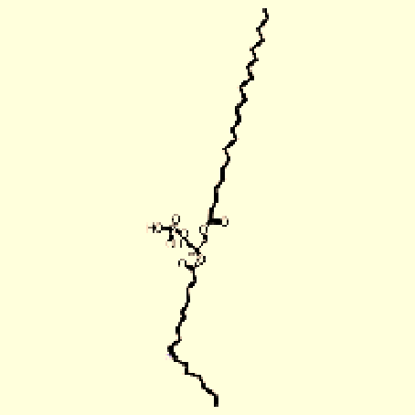 CCCCCC/C=C\CCCCCCCC(=O)O[C@H](COC(=O)CCCCCCCCCCCCCCCCCCCCC)COP(=O)(O)O